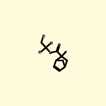 CC1(C(=O)OC(Cl)(Cl)CCl)CC2C=CC1C2